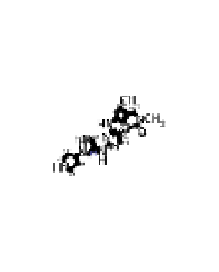 CC1CC(Nc2nc(N/C(C=N)=C/NC3CCNCC3)ncc2Cl)CC1CN(C)C(=O)CC#N